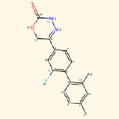 Cc1ccc(-c2ccc(C3=NNC(=O)OC3)cc2F)c(C)c1